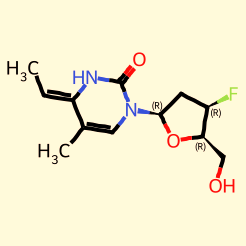 CC=C1NC(=O)N([C@H]2C[C@@H](F)[C@@H](CO)O2)C=C1C